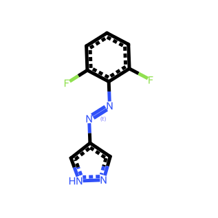 Fc1cccc(F)c1/N=N/c1cn[nH]c1